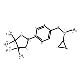 CN(Cc1ccc(B2OC(C)(C)C(C)(C)O2)cc1)C1CC1